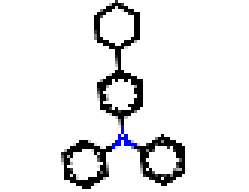 c1ccc(N(c2ccccc2)c2ccc(C3CCCCC3)cc2)cc1